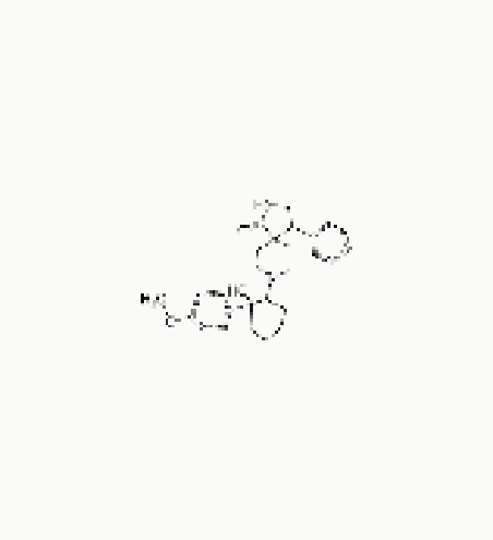 COc1ccc(C2(O)CCCCC2N2CCC3(CC2)C(=O)NCC3c2ccccc2)cc1